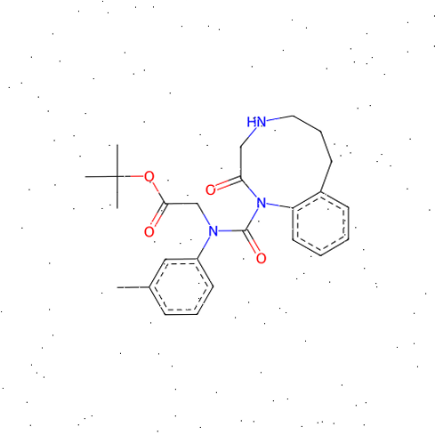 Cc1cccc(N(CC(=O)OC(C)(C)C)C(=O)N2C(=O)CNCCCc3ccccc32)c1